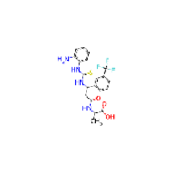 CC(NC(=O)CC(NC(=S)Nc1ccccc1N)c1cccc(C(F)(F)F)c1)C(=O)O